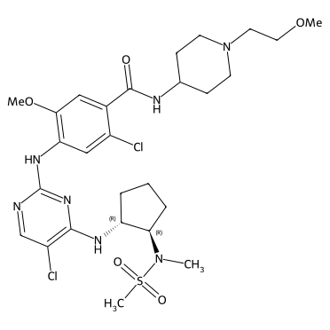 COCCN1CCC(NC(=O)c2cc(OC)c(Nc3ncc(Cl)c(N[C@@H]4CCC[C@H]4N(C)S(C)(=O)=O)n3)cc2Cl)CC1